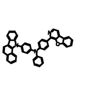 c1ccc(N(c2ccc(-c3nccc4c3oc3ccccc34)cc2)c2ccc(-n3c4ccccc4c4ccc5ccccc5c43)cc2)cc1